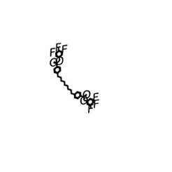 O=C(Oc1cc(F)c(F)c(F)c1)c1ccc(CCCCCCCCCc2ccc(C(=O)Oc3cc(F)c(F)c(F)c3)cc2)cc1